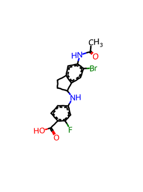 CC(=O)Nc1cc2c(cc1Br)C(Nc1ccc(C(=O)O)c(F)c1)CC2